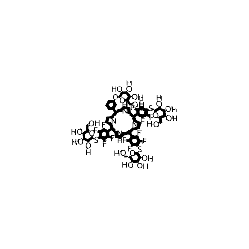 OCC1O[C@@H](Oc2cccc(-c3c4nc(c(-c5c(F)c(F)c(S[C@@H]6OC(CO)[C@H](O)C(O)C6O)c(F)c5F)c5ccc([nH]5)c(-c5c(F)c(F)c(SC6O[C@H](CO)C(O)C(O)[C@H]6O)c(F)c5F)c5nc(c(-c6c(F)c(F)c(S[C@@H]7OC(CO)[C@H](O)C(O)C7O)c(F)c6F)c6ccc3[nH]6)C=C5)C=C4)c2)C(O)C(O)[C@@H]1O